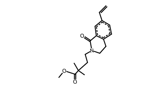 C=Cc1ccc2c(c1)C(=O)N(CCC(C)(C)C(=O)OC)CC2